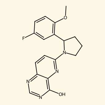 COc1ccc(F)cc1C1CCCN1c1ccc2ncnc(O)c2n1